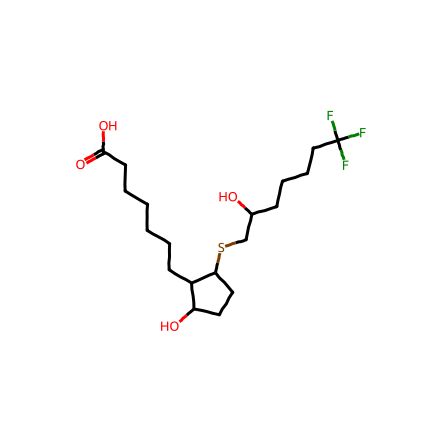 O=C(O)CCCCCCC1C(O)CCC1SCC(O)CCCCC(F)(F)F